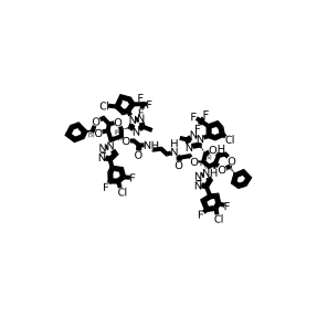 Cc1nc([C@H]2OC3CO[C@H](c4ccccc4)OC3[C@@H](n3cc(-c4cc(F)c(Cl)c(F)c4)nn3)[C@@H]2OCC(=O)NCCCNC(=O)CO[C@@H]2[C@@H](n3cc(-c4cc(F)c(Cl)c(F)c4)nn3)[C@H]3O[C@@H](c4ccccc4)OC[C@H]3O[C@H]2c2nc(C)nn2-c2cc(Cl)ccc2C(F)(F)F)n(-c2cc(Cl)ccc2C(F)(F)F)n1